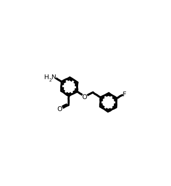 Nc1ccc(OCc2cccc(F)c2)c(C=O)c1